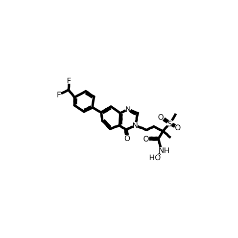 CC(CCn1cnc2cc(-c3ccc(C(F)F)cc3)ccc2c1=O)(C(=O)NO)S(C)(=O)=O